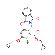 O=C(OCC1CC1)c1c(CN2C(=O)c3ccccc3C2=O)ccc(OCC2CC2)c1F